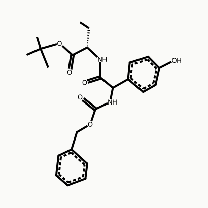 CC[C@H](NC(=O)C(NC(=O)OCc1ccccc1)c1ccc(O)cc1)C(=O)OC(C)(C)C